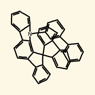 c1ccc(-c2cccc(-n3c4ccccc4c4ccc5c(c43)C3(c4ccccc4-c4ccccc43)c3ccccc3-5)c2)cc1